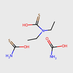 CCN(CC)C(O)=S.NC(=O)O.NC(O)=S